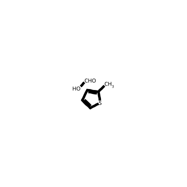 Cc1cccs1.O=CO